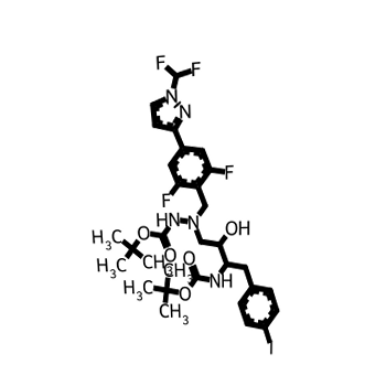 CC(C)(C)OC(=O)NC(Cc1ccc(I)cc1)C(O)CN(Cc1c(F)cc(-c2ccn(C(F)F)n2)cc1F)NC(=O)OC(C)(C)C